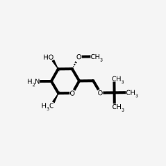 CO[C@@H]1C(COC(C)(C)C)O[C@@H](C)C(N)[C@H]1O